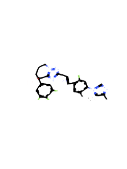 COc1cc(/C=C/c2nc3n(n2)CCC[C@@]3(O)c2cc(F)c(F)c(F)c2)c(F)cc1-n1cnc(C)c1